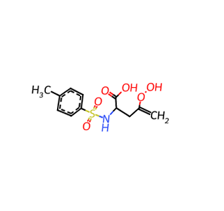 C=C(CC(NS(=O)(=O)c1ccc(C)cc1)C(=O)O)OO